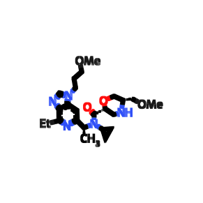 CCc1nc([C@@H](C)N(C(=O)[C@H]2CN[C@@H](COC)CO2)C2CC2)cc2c1ncn2CCCOC